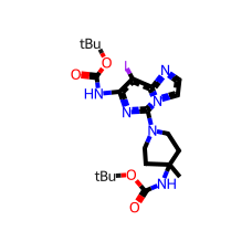 CC1(NC(=O)OC(C)(C)C)CCN(c2nc(NC(=O)OC(C)(C)C)c(I)c3nccn23)CC1